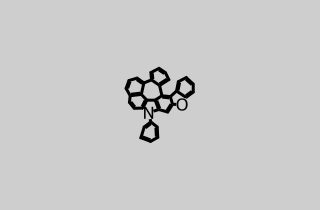 c1ccc(-n2c3cc4oc5ccccc5c4c4c3c3c5c(cccc5ccc32)-c2ccccc2-4)cc1